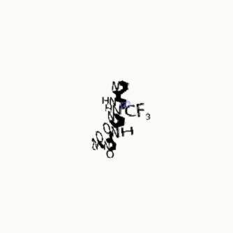 CN(C)C(=O)Cn1cc(C(=O)Nc2ccc(N/C(=C\C(=N)c3cccnc3)C(F)(F)F)nc2)ccc1=O